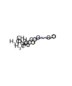 CC(C)CCC[C@@H](C)[C@H]1CCC2C3CC=C4C[C@@H](OC/C=C/CCOCc5ccccc5)CC[C@]4(C)C3CC[C@@]21C